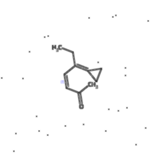 CCC(/C=C\C(C)=O)=C1CC1